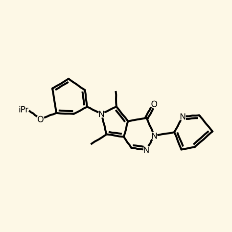 Cc1c2cnn(-c3ccccn3)c(=O)c2c(C)n1-c1cccc(OC(C)C)c1